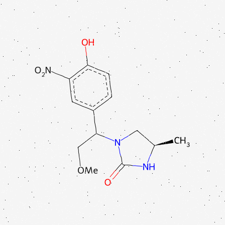 COCC(c1ccc(O)c([N+](=O)[O-])c1)N1C[C@@H](C)NC1=O